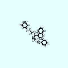 CC[S+]([O-])c1c(-c2ccccc2)nc2ccccc2c1C(=O)NCCCc1ccccc1